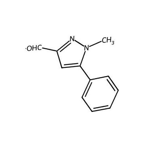 Cn1nc([C]=O)cc1-c1ccccc1